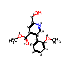 COC(=O)c1cc(CO)ncc1-c1ccccc1OC